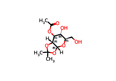 CC(=O)O[C@H]1[C@H](O)[C@@H](CO)O[C@@H]2OC(C)(C)O[C@@H]21